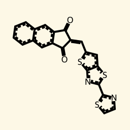 O=C1C(=Cc2cc3sc(-c4nccs4)nc3s2)C(=O)c2cc3ccccc3cc21